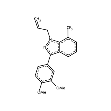 C=CCn1nc(-c2ccc(OC)c(OC)c2)c2cccc(C(F)(F)F)c21